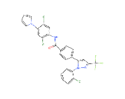 O=C(Nc1cc(Cl)c(-n2cccc2)cc1Cl)c1ccc(-c2cc(C(F)(F)F)nn2-c2ccccc2Cl)cc1